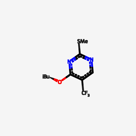 CC[C@H](C)Oc1nc(SC)ncc1C(F)(F)F